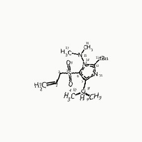 C=CCS(=O)(=O)c1c([SiH](C)C)nc(C(C)(C)C)n1N(C)C